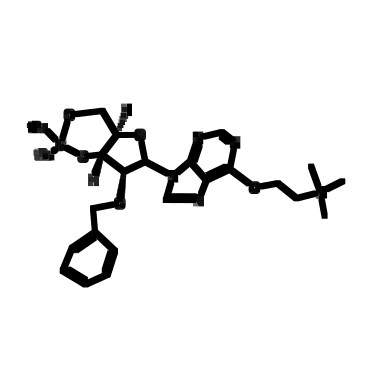 CC(C)(C)[Si]1(C(C)(C)C)OC[C@H]2OC(n3cnc4c(OCC[Si](C)(C)C)ncnc43)[C@@H](OCc3ccccc3)[C@@H]2O1